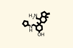 C=C1CCC2C(CN)C(C3(C)CCC(O)CC3CNC3CCCC3)CCC12C